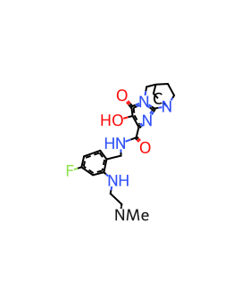 CNCCNc1cc(F)ccc1CNC(=O)c1nc2n(c(=O)c1O)CC1CCN2CC1